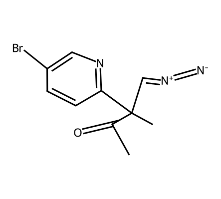 CC(=O)C(C)(C=[N+]=[N-])c1ccc(Br)cn1